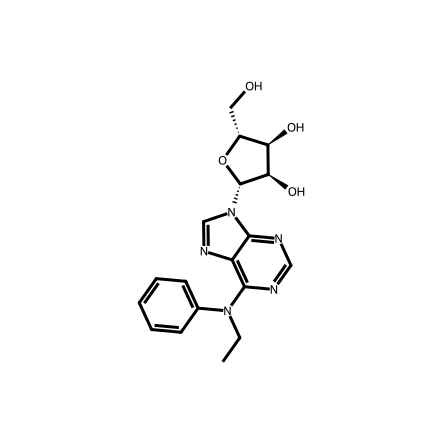 CCN(c1ccccc1)c1ncnc2c1ncn2[C@@H]1O[C@H](CO)[C@@H](O)[C@H]1O